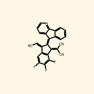 N#C/C=C1/C(=C2/c3ccccc3-c3ncccc32)C(=C(C#N)C#N)c2c1cc(F)c(F)c2F